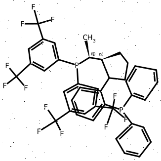 C[C@@H]([C@H]1CCCC1c1ccccc1P(c1ccccc1)c1ccccc1)P(c1cc(C(F)(F)F)cc(C(F)(F)F)c1)c1cc(C(F)(F)F)cc(C(F)(F)F)c1